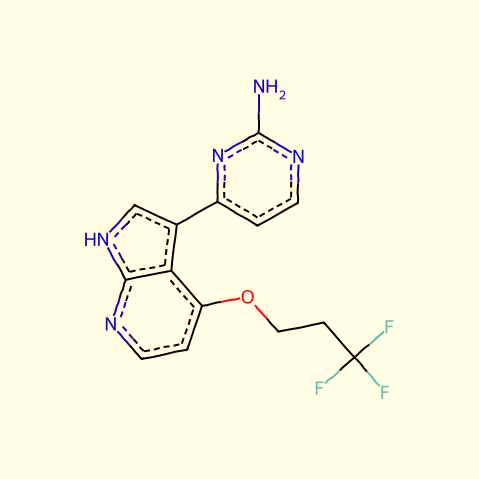 Nc1nccc(-c2c[nH]c3nccc(OCCC(F)(F)F)c23)n1